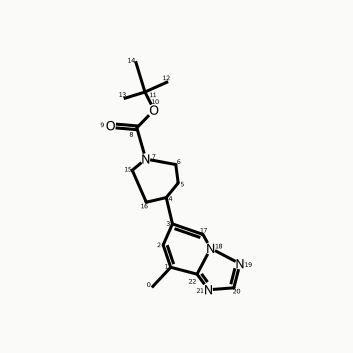 Cc1cc(C2CCN(C(=O)OC(C)(C)C)CC2)cn2ncnc12